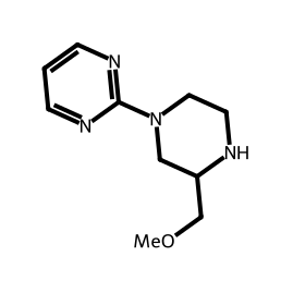 COCC1CN(c2ncccn2)CCN1